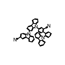 N#Cc1ccc2c(c1)c1ccccc1n2-c1ccc2c3ccccc3n(-c3ccc(-c4ccccc4-n4c5ccccc5c5ccccc54)c(C#N)c3)c2c1